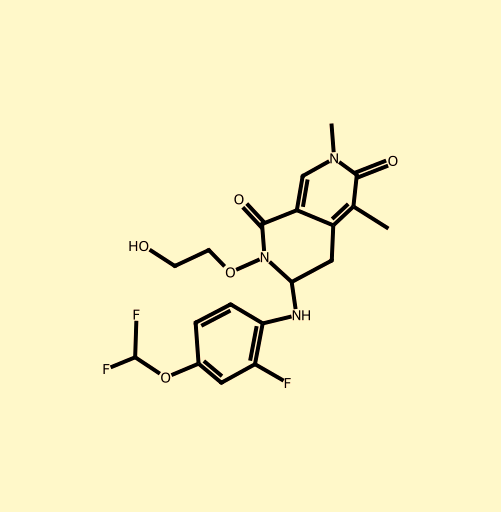 Cc1c2c(cn(C)c1=O)C(=O)N(OCCO)C(Nc1ccc(OC(F)F)cc1F)C2